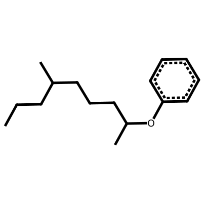 CCCC(C)CCC[C](C)Oc1ccccc1